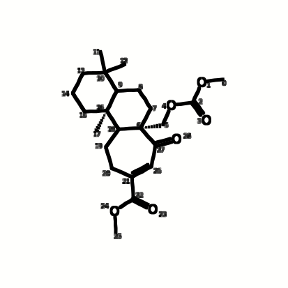 COC(=O)OC[C@@]12CCC3C(C)(C)CCC[C@]3(C)C1CCC(C(=O)OC)=CC2=O